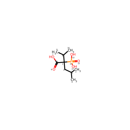 CC(C)CC(C(=O)O)(C(C)C)P(=O)(O)O